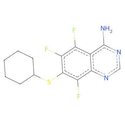 Nc1ncnc2c(F)c(SC3CCCCC3)c(F)c(F)c12